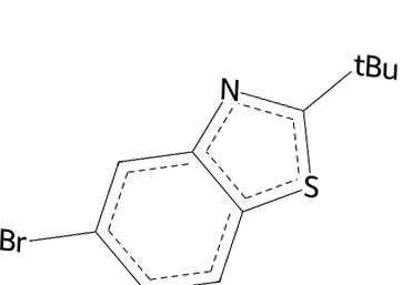 CC(C)(C)c1nc2cc(Br)ccc2s1